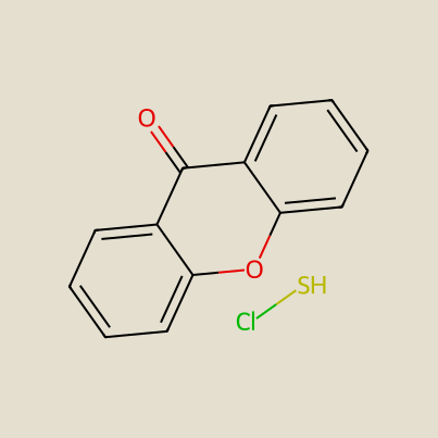 O=c1c2ccccc2oc2ccccc12.SCl